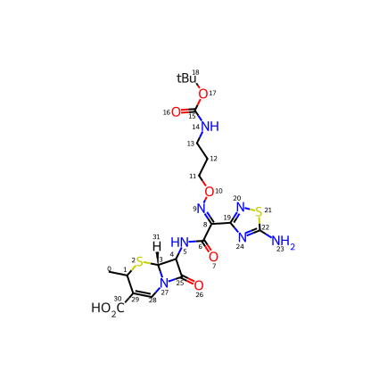 CC1S[C@@H]2C(NC(=O)C(=NOCCCNC(=O)OC(C)(C)C)c3nsc(N)n3)C(=O)N2C=C1C(=O)O